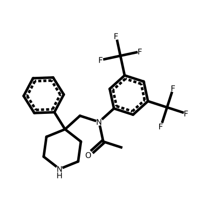 CC(=O)N(CC1(c2ccccc2)CCNCC1)c1cc(C(F)(F)F)cc(C(F)(F)F)c1